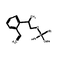 C=Cc1ccccc1C(C)CO[Si](CCC)(CCC)OC